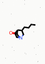 CCCCC1CN2CCC1C(=O)C2